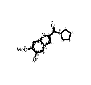 COc1cc2nc(C(=O)N3CCCC3)cn2cc1Br